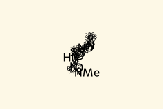 CNC(=O)C1CCCCN1CCCNC(=O)c1sccc1-c1nc(-c2cc(-c3ccccc3)no2)cs1